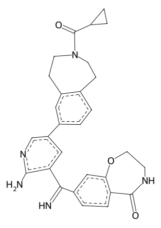 N=C(c1ccc2c(c1)OCCNC2=O)c1cc(-c2ccc3c(c2)CCN(C(=O)C2CC2)CC3)cnc1N